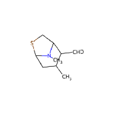 CC1CC2SCC(C1C=O)N2C